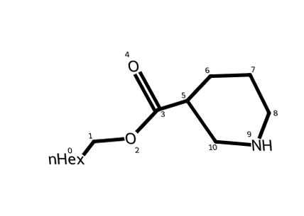 CCCCCCCOC(=O)C1CCCNC1